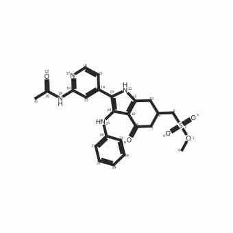 COS(=O)(=O)CC1CC(=O)c2c([nH]c(-c3ccnc(NC(C)=O)c3)c2Nc2ccccc2)C1